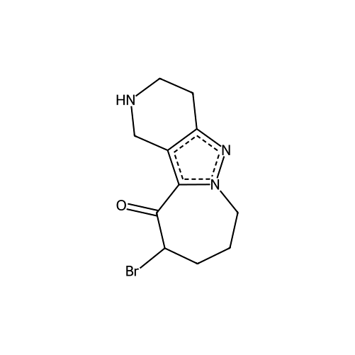 O=C1c2c3c(nn2CCCC1Br)CCNC3